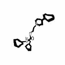 CC(=O)C(Cc1ccccc1)(OCc1ccccc1)C(=O)OCCN1CCC(c2ccccc2)CC1